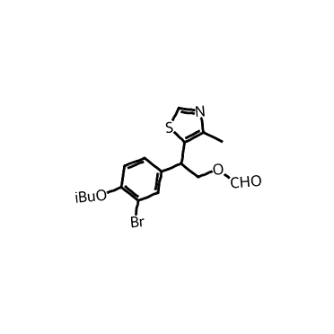 Cc1ncsc1C(COC=O)c1ccc(OCC(C)C)c(Br)c1